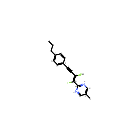 CCCc1ccc(C#CC(F)=C(F)c2ncc(C)cn2)cc1